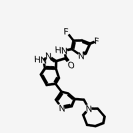 O=C(Nc1ncc(F)cc1F)c1n[nH]c2ccc(-c3cncc(CN4CCCCCC4)c3)cc12